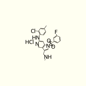 CNCc1cn(S(=O)(=O)c2cccc(F)c2)c2cc(Nc3ccc(C)cc3Cl)ncc12.Cl